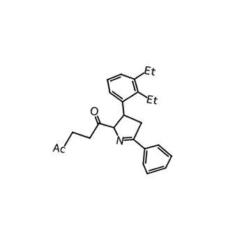 CCc1cccc(C2CC(c3ccccc3)=NC2C(=O)CCC(C)=O)c1CC